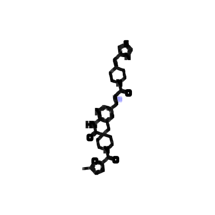 Cc1ccc(C(=O)N2CCC3(CC2)Cc2cc(/C=C/C(=O)N4CCC(=Cc5cscn5)CC4)cnc2NC3=O)o1